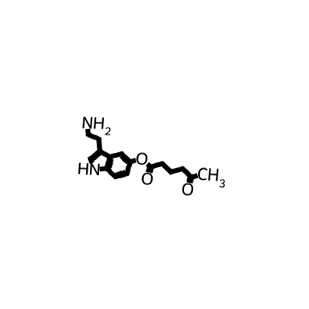 CC(=O)CCCC(=O)Oc1ccc2[nH]cc(CCN)c2c1